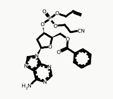 C=CCOP(=O)(OCCC#N)O[C@H]1C[C@H](n2cnc3c(N)ncnc32)O[C@@H]1COC(=O)c1ccccc1